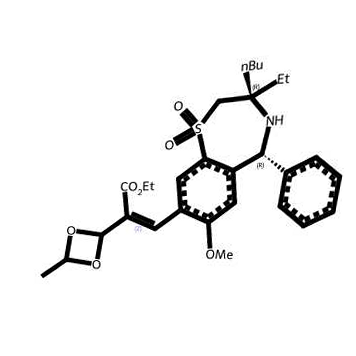 CCCC[C@]1(CC)CS(=O)(=O)c2cc(/C=C(\C(=O)OCC)C3OC(C)O3)c(OC)cc2[C@@H](c2ccccc2)N1